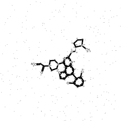 C=CC(=O)N1CCN(c2nc(OC[C@@H]3CCCN3C)nc3cc(-c4c(Cl)cccc4Cl)c4ccoc4c23)CC1